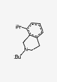 CC(C)c1cccc2c1CN(C(C)(C)C)CC2